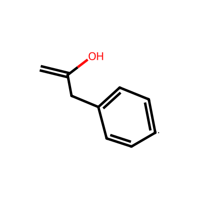 C=C(O)Cc1cc[c]cc1